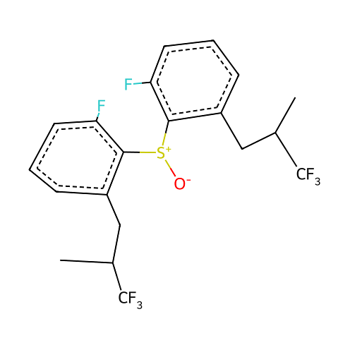 CC(Cc1cccc(F)c1[S+]([O-])c1c(F)cccc1CC(C)C(F)(F)F)C(F)(F)F